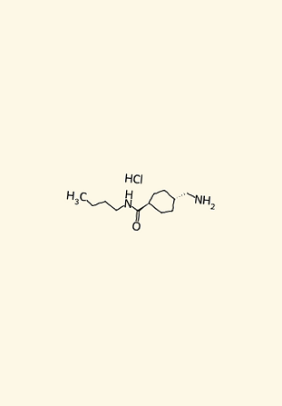 CCCCNC(=O)[C@H]1CC[C@H](CN)CC1.Cl